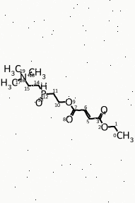 CCOC(=O)/C=C/C(=O)OCC[PH](=O)CC[N+](C)(C)C